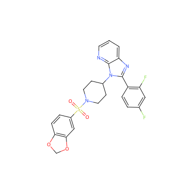 O=S(=O)(c1ccc2c(c1)OCO2)N1CCC(n2c(-c3ccc(F)cc3F)nc3cccnc32)CC1